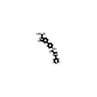 O=C(Nc1ccc(-c2ccc3c(C(=O)O)n[nH]c3c2)cc1)c1csc(-c2ccncc2)n1